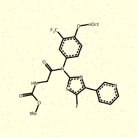 CCCCCCCCOc1ccc(N(C(=O)CNC(=O)OC(C)(C)C)c2nc(-c3cccnc3)c(F)s2)cc1C(F)(F)F